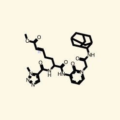 COC(=O)/C=C/CCC(NC(=O)c1cnnn1C)C(=O)Nc1cccn(CC(=O)NC2C3CC4CC(C3)CC2C4)c1=O